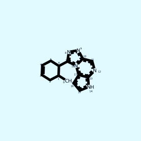 CC1CC=CCC1c1nnc2cnc3[nH]ccc3n12